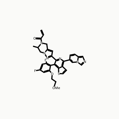 C=CC(=O)N1Cc2cc(-c3nc(-c4ccc5cncn5c4)c4ccsc4c3-c3c(F)cc(F)cc3OCCOC)nn2CC1C